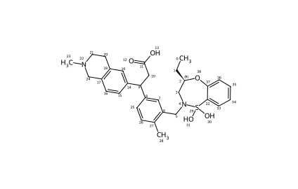 CC[C@@H]1CN(Cc2cc(C(CC(=O)O)c3ccc4c(c3)CCN(C)C4)ccc2C)S(O)(O)c2ccccc2O1